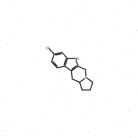 Clc1ccc2c3c([nH]c2c1)CN1CCCC1C3